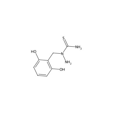 NC(=S)N(N)Cc1c(O)cccc1O